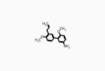 C=CCc1cc(-c2cc(N)ccc2OC)ccc1OC